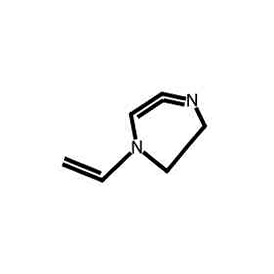 C=CN1C=C=NCC1